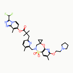 Cc1ccc(CC(C)(C)C(=O)Oc2ccn3c(C(F)F)nnc3c2C)nc1CN1CC2(CC2)Oc2nc(OCCN3CCCC3)c(C)cc2S1(=O)=O